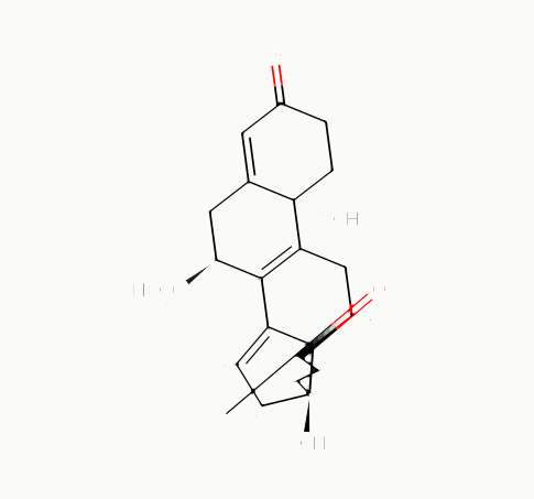 C[C@@]12CCC(=O)C=C1C[C@H](C(=O)O)C1=C2CCC23C(=O)CC[C@@]2(C)CC=C13